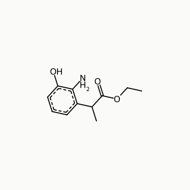 CCOC(=O)C(C)c1cccc(O)c1N